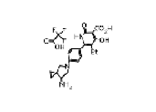 CCc1c(-c2ccc(N3CC(N)C4(CC4)C3)cc2)[nH]c(=O)c(C(=O)O)c1O.O=C(O)C(F)(F)F